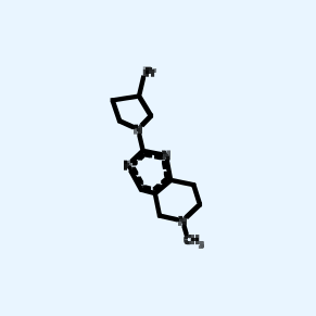 CC(C)C1CCN(c2ncc3c(n2)CCN(C)C3)C1